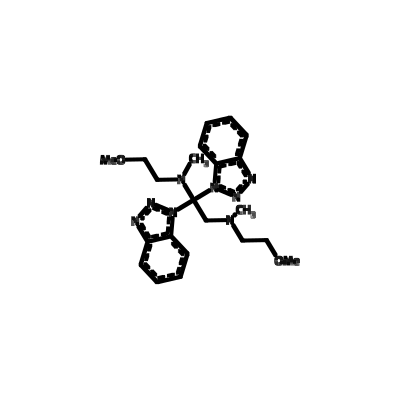 COCCN(C)CC(N(C)CCOC)(n1nnc2ccccc21)n1nnc2ccccc21